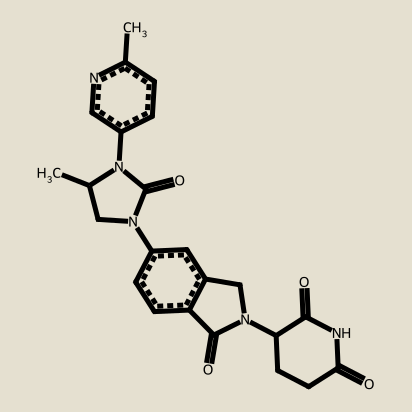 Cc1ccc(N2C(=O)N(c3ccc4c(c3)CN(C3CCC(=O)NC3=O)C4=O)CC2C)cn1